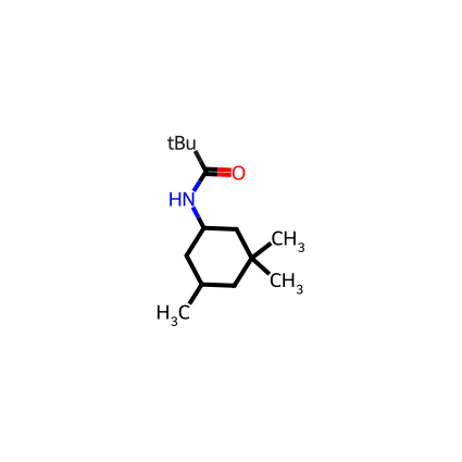 CC1CC(NC(=O)C(C)(C)C)CC(C)(C)C1